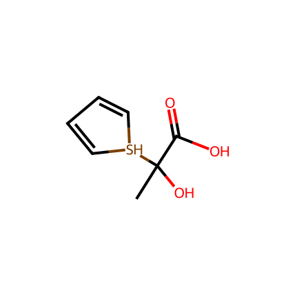 CC(O)(C(=O)O)[SH]1C=CC=C1